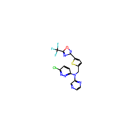 FC(F)(F)c1nc(-c2ccc(CN(c3cnccn3)c3ccc(Cl)nn3)s2)no1